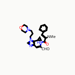 CN/C(=C\c1ccccc1)C(=O)N/C(C=O)=C\c1ncn(CCCN2CCOCC2)c1C1CC1